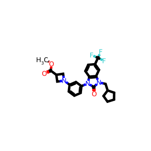 COC(=O)C1CN(c2cccc(-n3c(=O)n(CC4CCCC4)c4cc(C(F)(F)F)ccc43)c2)C1